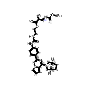 CC(C)C(/C=N/C(=O)OC(C)(C)C)C(=O)OCCNC(=S)Nc1ccc(-c2nc(N3C[C@H]4CC[C@@H](C3)O4)c3cccn3n2)cc1